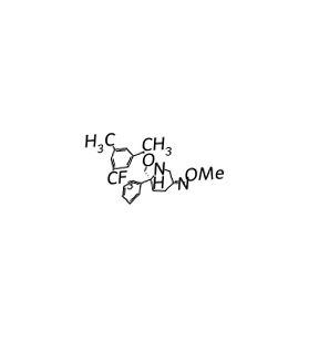 CO/N=C1/CC[C@@](CO[C@H](C)c2cc(C)cc(C(F)(F)F)c2)(c2ccccc2)NC1